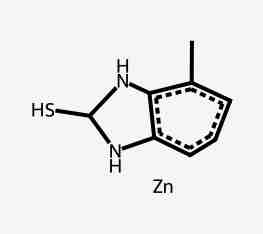 Cc1cccc2c1NC(S)N2.[Zn]